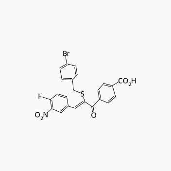 O=C(O)c1ccc(C(=O)C(=Cc2ccc(F)c([N+](=O)[O-])c2)SCc2ccc(Br)cc2)cc1